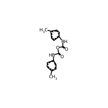 Cc1ccc(BC(=O)OC(=O)Bc2ccc(C)cc2)cc1